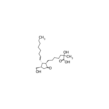 CCCCCCC=C[C@H]1[C@H](CO)CC(=O)[C@@H]1CCCCCC(C)(O)C(=O)O